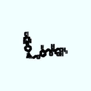 CCC(CO)NC(=O)Cc1ccc(OCC[C@@H]2C[C@@H]2C2CCN(c3ncc(Cl)cn3)CC2)cc1F